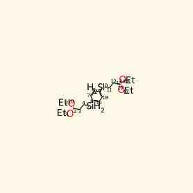 CCOC(CC[SiH2]c1ccc([SiH2]CCC(OCC)OCC)cc1)OCC